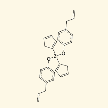 C=CCc1ccc([O][Zr]([O]c2ccc(CC=C)cc2)([C]2=CC=CC2)[C]2=CC=CC2)cc1